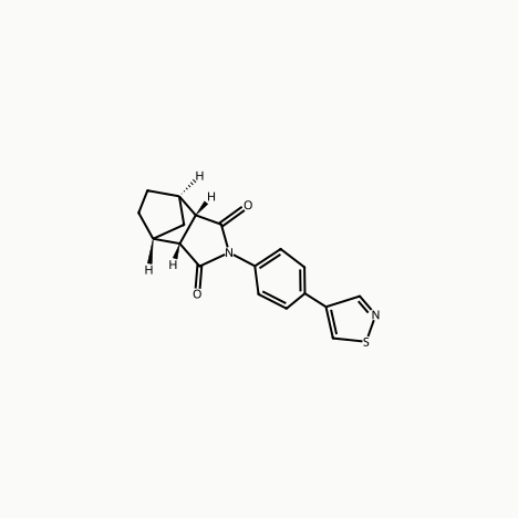 O=C1[C@@H]2[C@@H]3CC[C@H](C3)[C@@H]2C(=O)N1c1ccc(-c2cnsc2)cc1